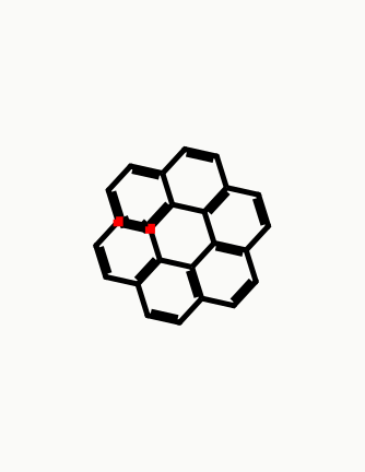 c1ccc2c(c1)ccc1ccc3ccc4ccc5ccc6ccccc6c5c4c3c12